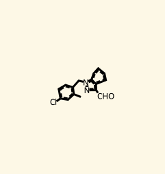 Cc1cc(Cl)ccc1Cn1nc(C=O)c2ccccc21